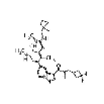 C=N\C(=N/C(CC)=C(C)/C(=C\CNC)c1ccn2ncc(C(=O)NCC3CC(F)(F)C3)c2c1)NCC1(F)CCC1